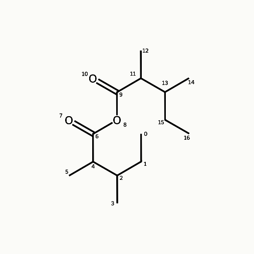 CCC(C)C(C)C(=O)OC(=O)C(C)C(C)CC